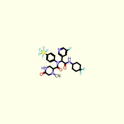 N#CN1CC(=O)NCC1C(=O)N(c1ccc(S(F)(F)(F)(F)F)cc1)C(C(=O)NC1CCC(F)(F)CC1)c1cncc(F)c1